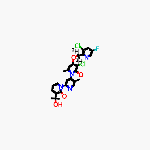 [2H]C([2H])(Oc1cc(C)n(-c2cc(-n3cccc(C(C)(C)O)c3=O)ncc2C)c(=O)c1Cl)c1ncc(F)cc1Cl